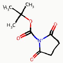 CC(C)(C)OC(=O)[N+]1C(=O)CCC1=O